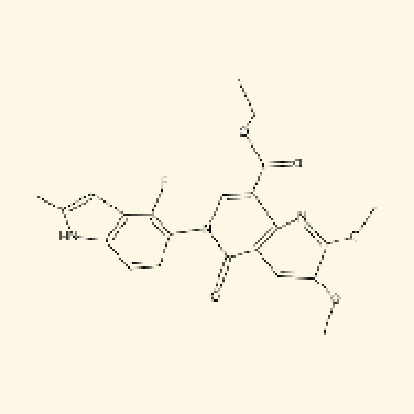 CCOC(=O)c1cn(-c2ccc3[nH]c(C)cc3c2F)c(=O)c2cc(OC)c(OC)nc12